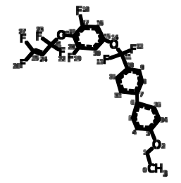 CCOc1ccc(-c2ccc(C(F)(F)Oc3cc(F)c(OC(F)(F)C=C(F)F)c(F)c3)cc2)cc1